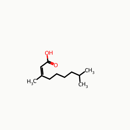 CC(=CC(=O)O)CCCCC(C)C